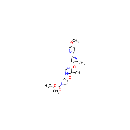 COc1ccc(-c2ccc(Oc3ncnc(OC4CCN(C(=O)OC(C)C)CC4)c3C)c(C)n2)nc1